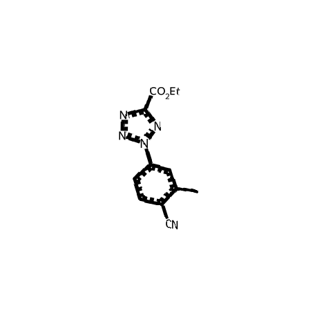 CCOC(=O)c1nnn(-c2ccc(C#N)c(C)c2)n1